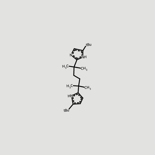 CC(C)(C)c1ccc(C(C)(C)CCC(C)(C)c2ncc(C(C)(C)C)[nH]2)[nH]1